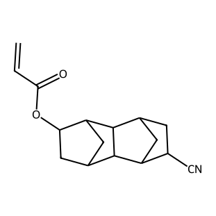 C=CC(=O)OC1CC2CC1C1C3CC(C#N)C(C3)C21